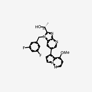 COc1ccnn2ccc(-c3cnc4nc([C@@H](C)O)n(Cc5cc(F)cc(F)c5)c4c3)c12